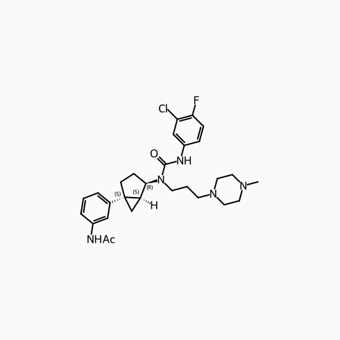 CC(=O)Nc1cccc([C@]23CC[C@@H](N(CCCN4CCN(C)CC4)C(=O)Nc4ccc(F)c(Cl)c4)[C@H]2C3)c1